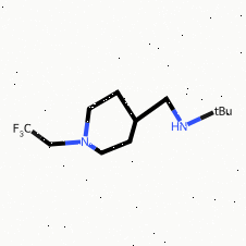 CC(C)(C)NCC1CCN(CC(F)(F)F)CC1